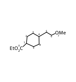 CCOC(=O)C1CCC(CCOC)CC1